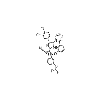 CCN(C(=O)c1cccc(=O)[nH]1)C1CN(/C(=N\C#N)Nc2cccc(OC(F)F)c2)N=C1c1ccc(Cl)c(Cl)c1